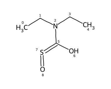 CCN(CC)C(O)=S=O